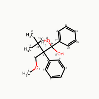 COCC(c1ccccc1)(C(C)(C)C)C(O)(O)c1ccccc1